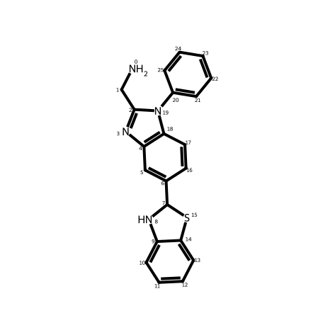 NCc1nc2cc(C3Nc4ccccc4S3)ccc2n1-c1ccccc1